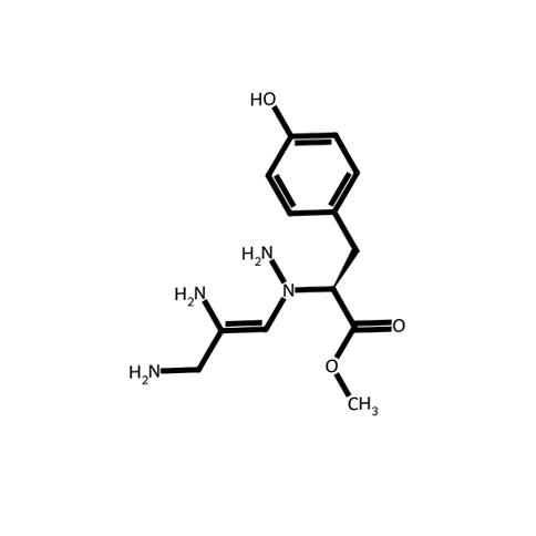 COC(=O)[C@H](Cc1ccc(O)cc1)N(N)/C=C(\N)CN